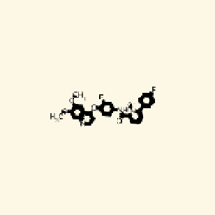 COc1cc2nccc(Oc3ccc(NC(=O)c4cccc(-c5ccc(F)cc5)[n+]4[O-])cc3F)c2cc1OC